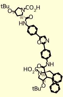 CC(C)(C)O[C@@H]1C[C@@H](C(=O)Nc2ccc(-c3cnc(-c4ccc(NC(=O)[C@]5(Cc6ccccc6)C(Cc6ccccc6)[C@@H](OC(C)(C)C)CN5C(=O)O)cc4)o3)cc2)N(C(=O)O)C1